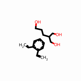 C=Cc1ccccc1C=C.OCCCC(CO)CO